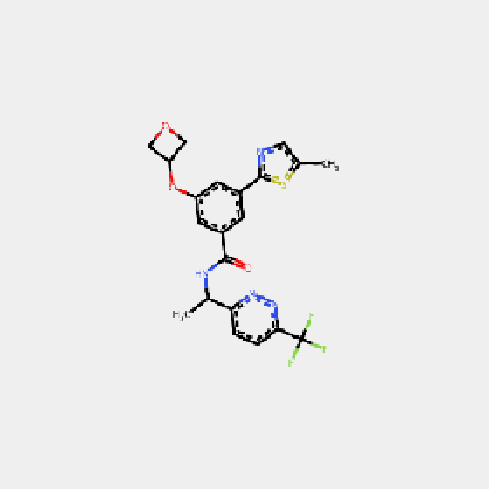 Cc1cnc(-c2cc(OC3COC3)cc(C(=O)NC(C)c3ccc(C(F)(F)F)nn3)c2)s1